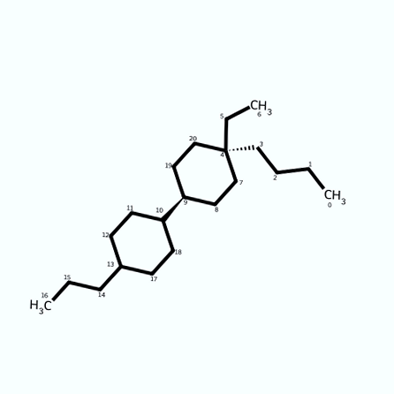 CCCC[C@]1(CC)CC[C@@H](C2CCC(CCC)CC2)CC1